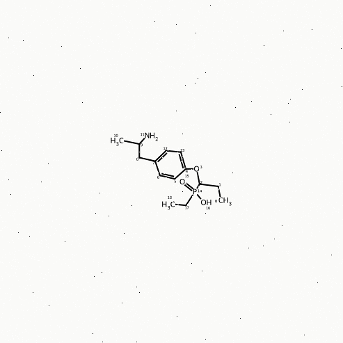 CCC(Oc1ccc(CC(C)N)cc1)P(=O)(O)CC